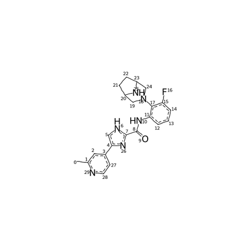 Cc1cc(-c2c[nH]c(C(=O)Nc3cccc(F)c3N3CC4CCC(C3)N4)n2)ccn1